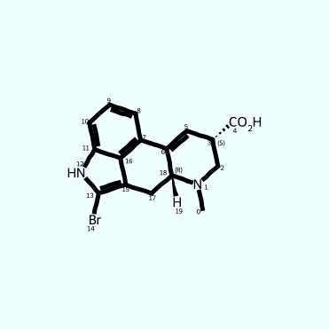 CN1C[C@@H](C(=O)O)C=C2c3cccc4[nH]c(Br)c(c34)C[C@H]21